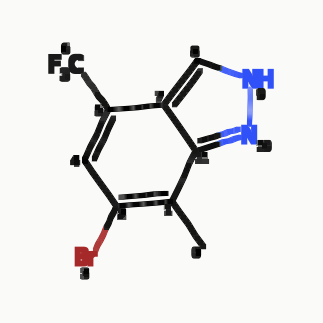 Cc1c(Br)cc(C(F)(F)F)c2c[nH]nc12